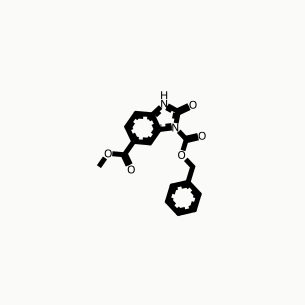 COC(=O)c1ccc2[nH]c(=O)n(C(=O)OCc3ccccc3)c2c1